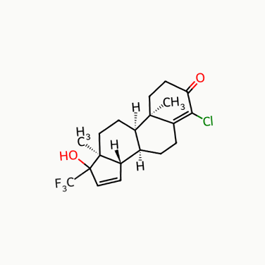 C[C@]12CCC(=O)C(Cl)=C1CC[C@@H]1[C@H]2CC[C@@]2(C)[C@H]1C=CC2(O)C(F)(F)F